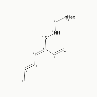 C=C/C(=C\C=C\C)SNCCCCCCC